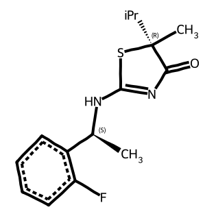 CC(C)[C@@]1(C)SC(N[C@@H](C)c2ccccc2F)=NC1=O